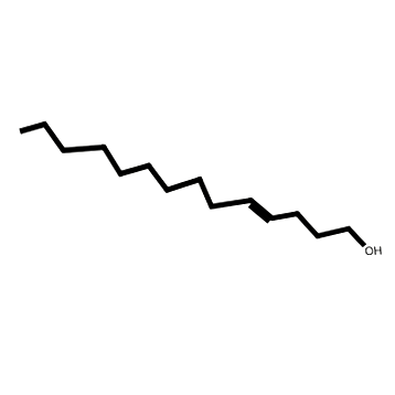 CCCCCCCCC/C=C/CCCO